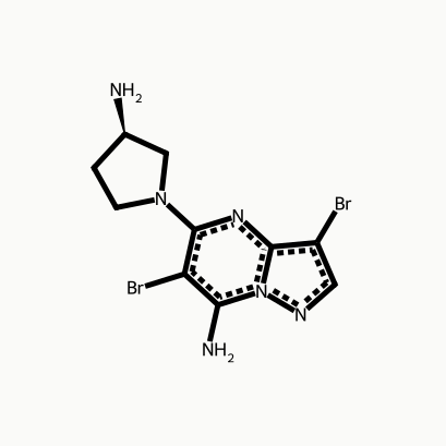 Nc1c(Br)c(N2CC[C@@H](N)C2)nc2c(Br)cnn12